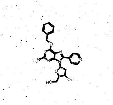 Nc1nc(OCc2ccccc2)c2nc(-c3ccncc3)n(C3CC(O)C(CO)O3)c2n1